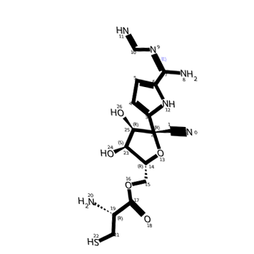 N#C[C@@]1(c2ccc(/C(N)=N\C=N)[nH]2)O[C@H](COC(=O)[C@@H](N)CS)[C@@H](O)[C@H]1O